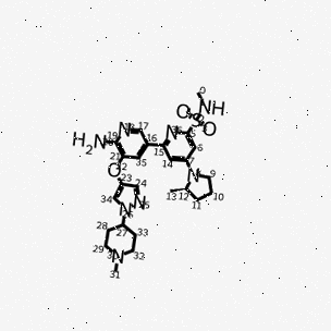 CNS(=O)(=O)c1cc(N2CCC[C@H]2C)cc(-c2cnc(N)c(Oc3cnn(C4CCN(C)CC4)c3)c2)n1